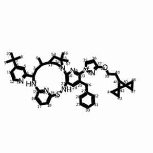 CC1CC(c2cc(C(C)(C)C)ccn2)Nc2cccc(n2)SNc2cc(Cc3ccccc3)c(-n3ccc(OCCC4C5(CC5)C45CC5)n3)nc2N2CC1CC2(C)C